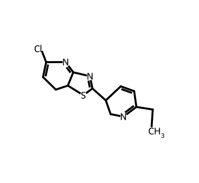 CCC1=NCC(C2=NC3=NC(Cl)=CCC3S2)C=C1